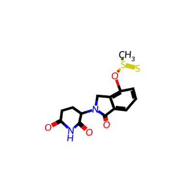 CS(=S)Oc1cccc2c1CN(C1CCC(=O)NC1=O)C2=O